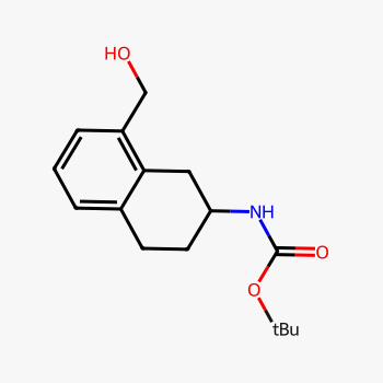 CC(C)(C)OC(=O)NC1CCc2cccc(CO)c2C1